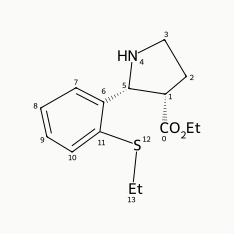 CCOC(=O)[C@H]1CCN[C@H]1c1ccccc1SCC